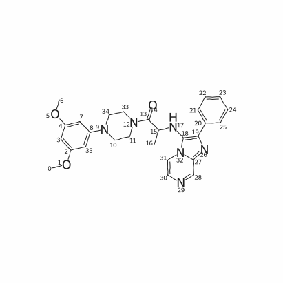 COc1cc(OC)cc(N2CCN(C(=O)C(C)Nc3c(-c4ccccc4)nc4cnccn34)CC2)c1